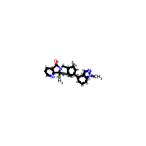 BC1(B)c2ncccc2C(=O)N1Cc1c(F)cc(-c2cccc3c2cnn3C)cc1F